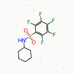 O=S(=O)(NC1CCCCC1)c1c(F)c(F)c(F)c(F)c1F